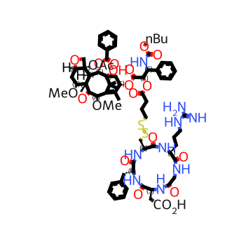 CCCCOC(=O)N[C@@H](c1ccccc1)[C@@H](OC(=O)CCCSSC[C@@H]1NC(=O)[C@@H](Cc2ccccc2)NC(=O)[C@H](CC(=O)O)NC(=O)CNC(=O)[C@H](CCCNC(=N)N)NC1=O)C(=O)O[C@H]1C[C@@]2(O)[C@@H](OC(=O)c3ccccc3)[C@@H]3[C@]4(OC(C)=O)CO[C@@H]4C[C@H](OC)[C@@]3(C)C(=O)[C@H](OC)C(=C1C)C2(C)C